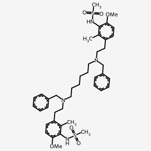 COc1ccc(CCN(CCCCCCN(CCc2ccc(OC)c(NS(C)(=O)=O)c2C)Cc2ccccc2)Cc2ccccc2)c(C)c1NS(C)(=O)=O